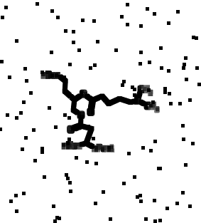 CCCCCCCCCCCCC(COC(=O)CC(CCCCC)CCCCCCCCC)OC(=O)CCCCN(C)C